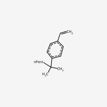 C=Cc1ccc(C(C)(C)CCCCC)cc1